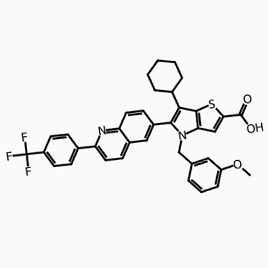 COc1cccc(Cn2c(-c3ccc4nc(-c5ccc(C(F)(F)F)cc5)ccc4c3)c(C3CCCCC3)c3sc(C(=O)O)cc32)c1